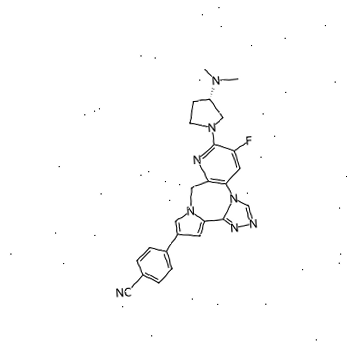 CN(C)[C@H]1CCN(c2nc3c(cc2F)-n2cnnc2-c2cc(-c4ccc(C#N)cc4)cn2C3)C1